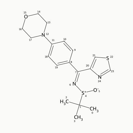 CC(C)(C)[S+]([O-])/N=C(/c1ccc(N2CCOCC2)cc1)c1cscn1